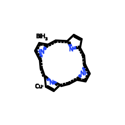 C1=Cc2cc3ccc(cc4nc(cc5ccc(cc1n2)[nH]5)C=C4)[nH]3.[BiH3].[Cu]